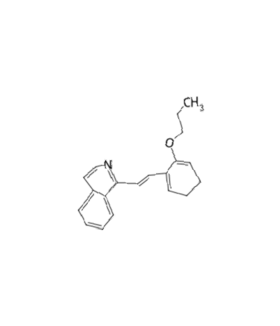 CCCOC1=CCCC=C1/C=C/c1nccc2ccccc12